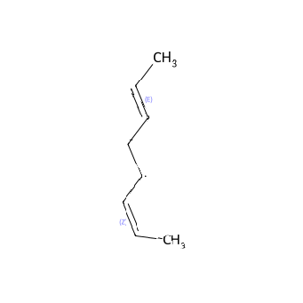 C/C=C\[CH]C/C=C/C